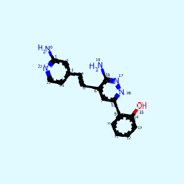 Nc1cc(/C=C/c2cc(-c3ccccc3O)nnc2N)ccn1